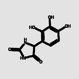 O=C1NC(=O)C(c2ccc(O)c(O)c2O)N1